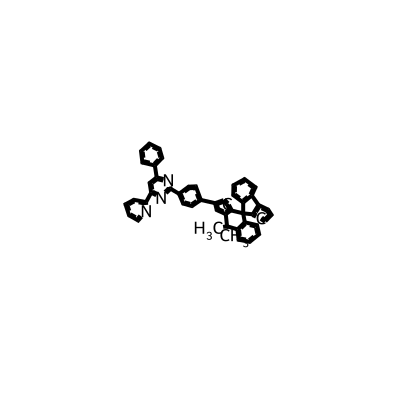 CC1(C)c2ccccc2C2(c3ccccc3-c3ccccc32)c2ccc(-c3ccc(-c4nc(-c5ccccc5)cc(-c5ccccn5)n4)cc3)cc21